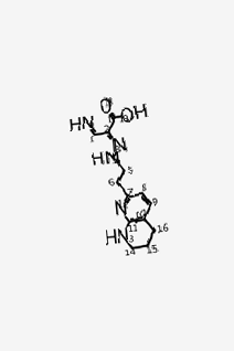 N=C/C(=N\NCCc1ccc2c(n1)NCCC2)C(=O)O